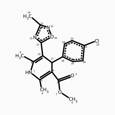 COC(=O)C1=C(C)NC(C)=C(c2nc(C)no2)C1c1ccc(Cl)cc1